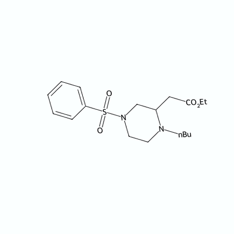 CCCCN1CCN(S(=O)(=O)c2ccccc2)CC1CC(=O)OCC